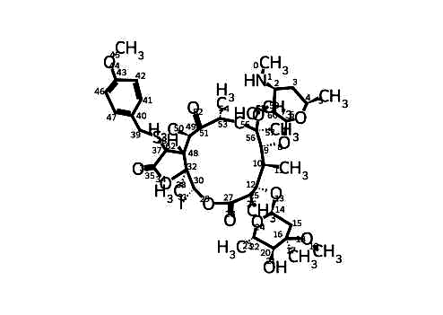 CN[C@H]1C[C@@H](C)O[C@@H](O[C@@H]2[C@@H](C)[C@H](O[C@H]3C[C@@](C)(OC)[C@@H](O)[C@H](C)O3)[C@@H](C)C(=O)O[C@H](I)[C@@]3(C)OC(=O)C(SCc4ccc(OC)cc4)[C@@H]3[C@@H](C)C(=O)[C@H](C)C[C@@]2(C)OC)[C@@H]1O